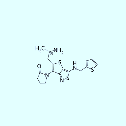 C[C@H](N)Cc1sc2c(NCc3cccs3)snc2c1N1CCCC1=O